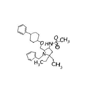 CCC1(CC)CC(NS(C)(=O)=O)C(COC2CCC(c3ccccc3)CC2)N1Cc1ccccc1